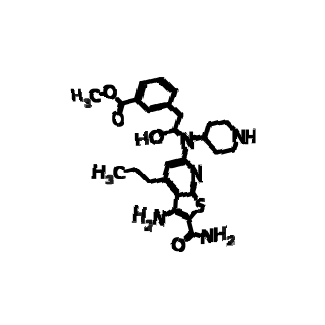 CCCc1cc(N(C(O)Cc2cccc(C(=O)OC)c2)C2CCNCC2)nc2sc(C(N)=O)c(N)c12